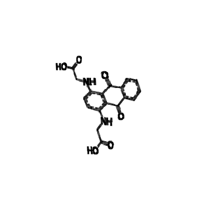 O=C(O)CNc1ccc(NCC(=O)O)c2c1C(=O)c1ccccc1C2=O